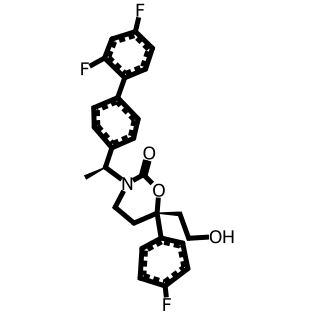 C[C@@H](c1ccc(-c2ccc(F)cc2F)cc1)N1CC[C@@](CCO)(c2ccc(F)cc2)OC1=O